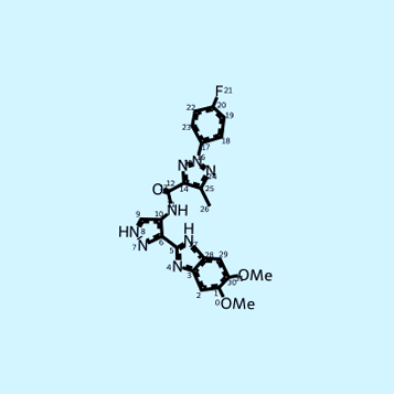 COc1cc2nc(-c3n[nH]cc3NC(=O)c3nn(-c4ccc(F)cc4)nc3C)[nH]c2cc1OC